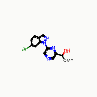 COC(O)c1cncc(-n2ncc3ccc(Br)cc32)n1